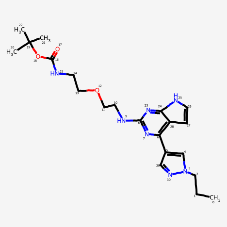 CCCn1cc(-c2nc(NCCOCCNC(=O)OC(C)(C)C)nc3[nH]ccc23)cn1